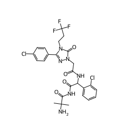 CC(C)(N)C(=O)NC(=O)C(NC(=O)Cn1nc(-c2ccc(Cl)cc2)n(CCC(F)(F)F)c1=O)c1ccccc1Cl